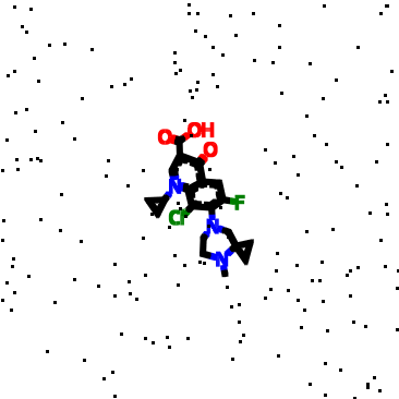 CN1CCN(c2c(F)cc3c(=O)c(C(=O)O)cn(C4CC4)c3c2Cl)CC12CC2